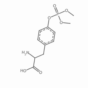 COP(=O)(OC)Oc1ccc(CC(N)C(=O)O)cc1